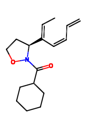 C=C/C=C\C(=C/C)[C@@H]1CCON1C(=O)C1CCCCC1